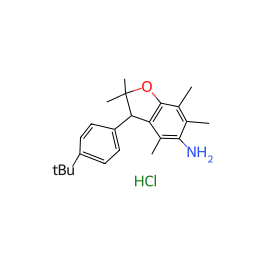 Cc1c(C)c2c(c(C)c1N)C(c1ccc(C(C)(C)C)cc1)C(C)(C)O2.Cl